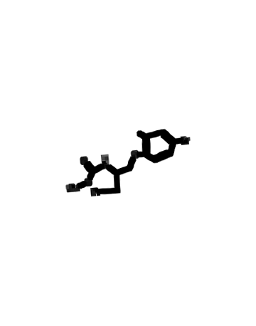 Cc1cc(Br)ccc1OCC(CC(C)C)NC(=O)OC(C)(C)C